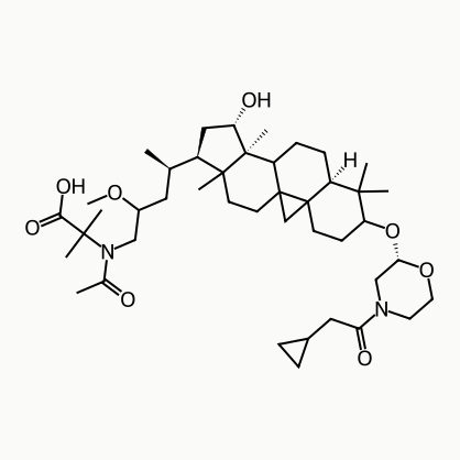 COC(C[C@@H](C)[C@H]1C[C@H](O)[C@@]2(C)C3CC[C@H]4C(C)(C)C(O[C@H]5CN(C(=O)CC6CC6)CCO5)CCC45CC35CCC12C)CN(C(C)=O)C(C)(C)C(=O)O